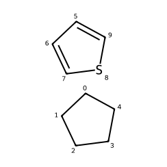 C1CCCC1.c1ccsc1